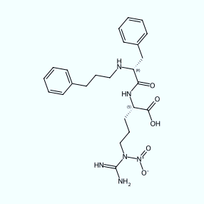 N=C(N)N(CCC[C@H](NC(=O)[C@@H](Cc1ccccc1)NCCCc1ccccc1)C(=O)O)[N+](=O)[O-]